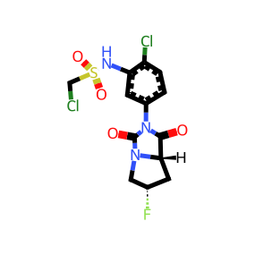 O=C1[C@@H]2C[C@H](F)CN2C(=O)N1c1ccc(Cl)c(NS(=O)(=O)CCl)c1